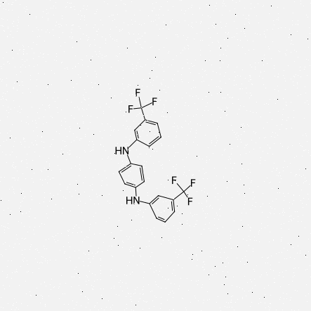 FC(F)(F)c1cccc(Nc2ccc(Nc3cccc(C(F)(F)F)c3)cc2)c1